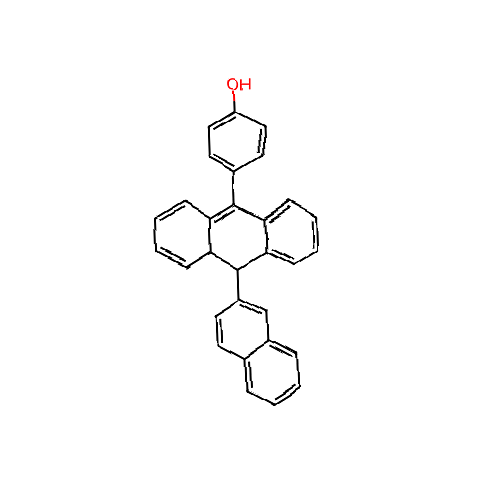 Oc1ccc(C2=C3C=CC=CC3C(c3ccc4ccccc4c3)c3ccccc32)cc1